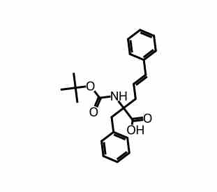 CC(C)(C)OC(=O)NC(CC=Cc1ccccc1)(Cc1ccccc1)C(=O)O